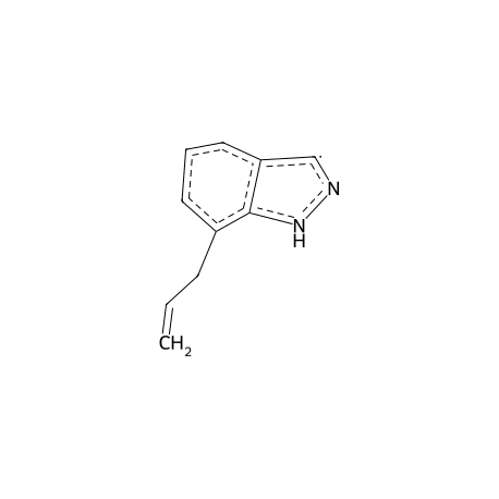 C=CCc1cccc2[c]n[nH]c12